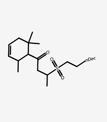 CCCCCCCCCCCCS(=O)(=O)C(C)CC(=O)C1C(C)C=CCC1(C)C